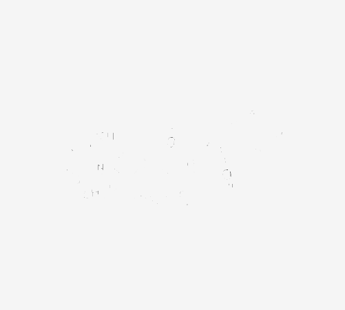 CC1CCC(C)N1S(=O)(=O)c1ccc(Cl)c(C(=O)OCC(=O)c2ccccc2)c1